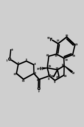 COC1CCC(C(=O)N2CC[C@@]3(C)c4cccc(F)c4C[C@@H]2C3(C)C)CC1